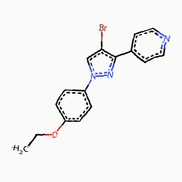 [CH2]COc1ccc(-n2cc(Br)c(-c3ccncc3)n2)cc1